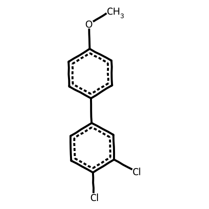 COc1ccc(-c2ccc(Cl)c(Cl)c2)cc1